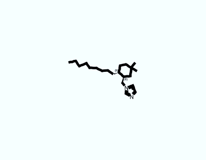 CCCCCCCCC[C@@H]1CCC(C)(C)C[C@H]1Cn1ccnc1